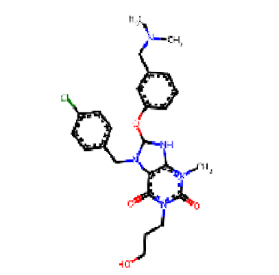 CN(C)Cc1cccc(OC2Nc3c(c(=O)n(CCCO)c(=O)n3C)N2Cc2ccc(Cl)cc2)c1